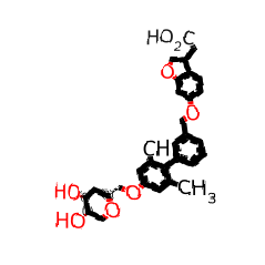 Cc1cc(OC[C@H]2C[C@H](O)[C@@H](O)CO2)cc(C)c1-c1cccc(COc2ccc3c(c2)OCC3CC(=O)O)c1